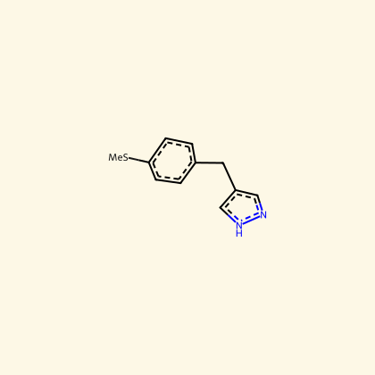 CSc1ccc(Cc2cn[nH]c2)cc1